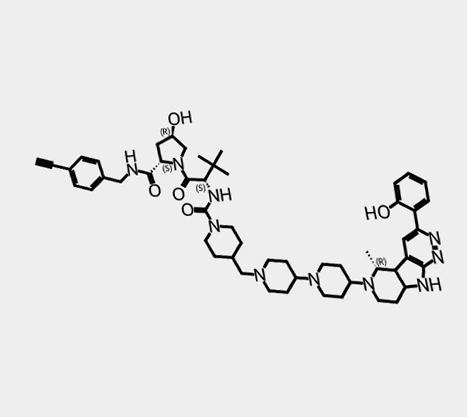 C#Cc1ccc(CNC(=O)[C@@H]2C[C@@H](O)CN2C(=O)[C@@H](NC(=O)N2CCC(CN3CCC(N4CCC(N5CCC6Nc7nnc(-c8ccccc8O)cc7C6[C@H]5C)CC4)CC3)CC2)C(C)(C)C)cc1